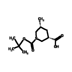 C[C@@H]1C[C@H](C(=O)O)CN(C(=O)OC(C)(C)C)C1